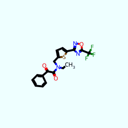 CCN(Cc1ccc(-c2noc(C(F)(F)F)n2)s1)C(=O)C(=O)c1ccccc1